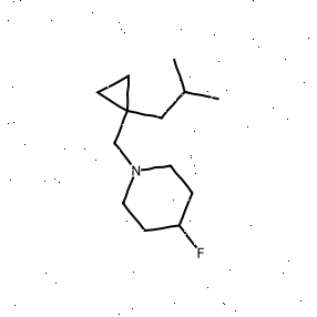 CC(C)CC1(CN2CCC(F)CC2)CC1